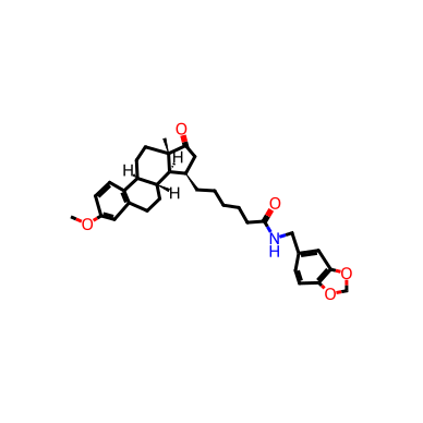 COc1ccc2c(c1)CC[C@H]1[C@@H]3[C@H](CCCCCC(=O)NCc4ccc5c(c4)OCO5)CC(=O)[C@@]3(C)CC[C@H]21